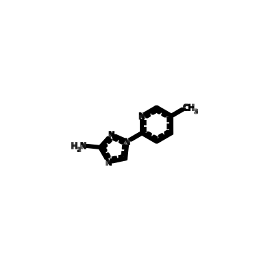 Cc1ccc(-n2cnc(N)n2)nc1